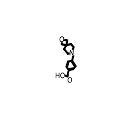 O=C(O)c1ccc(CN2CCC3(CC2)COC3)cc1